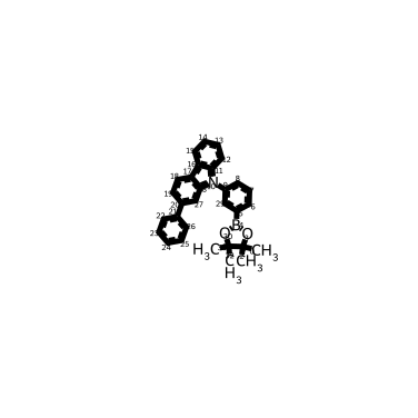 CC1(C)OB(c2cccc(-n3c4ccccc4c4ccc(-c5ccccc5)cc43)c2)OC1(C)C